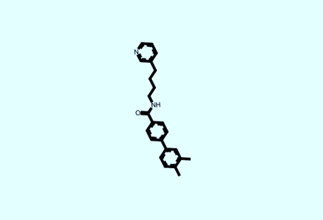 Cc1ccc(-c2ccc(C(=O)NCCCCc3cccnc3)cc2)cc1C